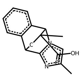 Cc1cn2c(n1)C1CC(C)(C(=O)O)C2c2ccccc21